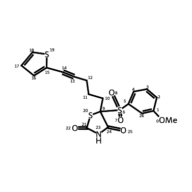 COc1cccc(S(=O)(=O)C2(CCCC#Cc3cccs3)SC(=O)NC2=O)c1